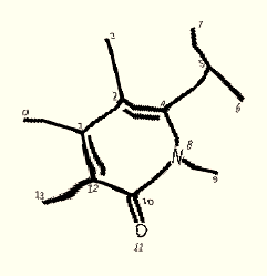 Cc1c(C)c(C(C)C)n(C)c(=O)c1C